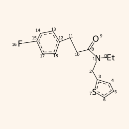 CCN(Cc1cccs1)C(=O)CCc1ccc(F)cc1